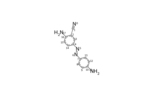 N#Cc1cc(N=Nc2ccc(N)cc2)ccc1N